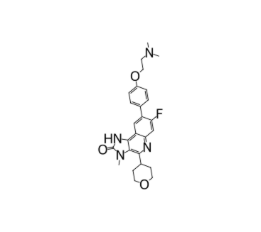 CN(C)CCOc1ccc(-c2cc3c(cc2F)nc(C2CCOCC2)c2c3[nH]c(=O)n2C)cc1